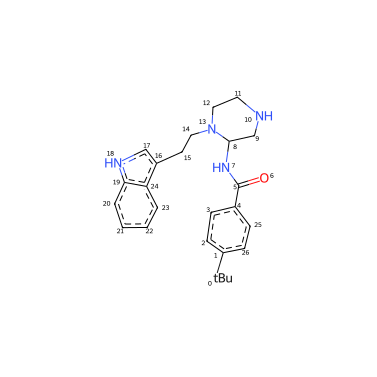 CC(C)(C)c1ccc(C(=O)NC2CNCCN2CCc2c[nH]c3ccccc23)cc1